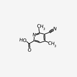 Cc1cc(C(=O)O)nc(C)c1C#N